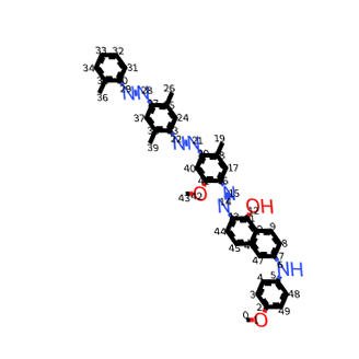 COc1ccc(Nc2ccc3c(O)c(N=Nc4cc(C)c(N=Nc5cc(C)c(N=Nc6ccccc6C)cc5C)cc4OC)ccc3c2)cc1